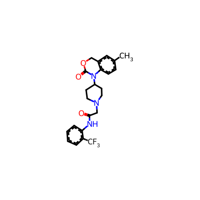 Cc1ccc2c(c1)COC(=O)N2C1CCN(CC(=O)Nc2ccccc2C(F)(F)F)CC1